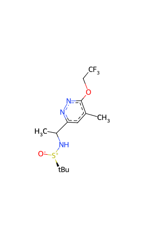 Cc1cc(C(C)N[S@+]([O-])C(C)(C)C)nnc1OCC(F)(F)F